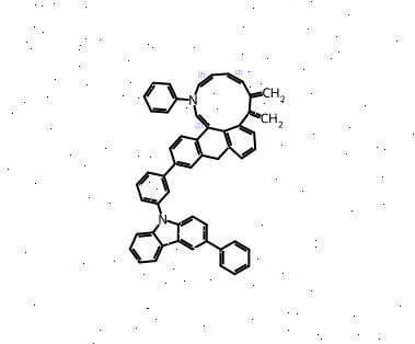 C=C1/C=C\C=C/N(c2ccccc2)/C=C2/c3ccc(-c4cccc(-n5c6ccccc6c6cc(-c7ccccc7)ccc65)c4)cc3Cc3cccc(c32)C1=C